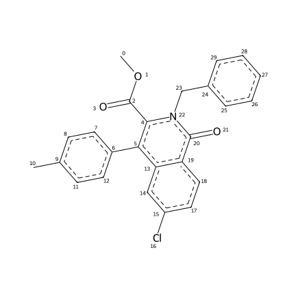 COC(=O)c1c(-c2ccc(C)cc2)c2cc(Cl)ccc2c(=O)n1Cc1ccccc1